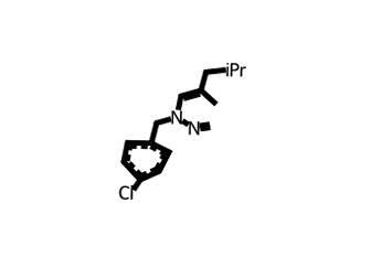 C=NN(/C=C(\C)CC(C)C)Cc1ccc(Cl)cc1